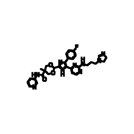 CC1(C(=O)Nc2cccnc2)COC(c2nc(-c3ccc(F)cc3)c(-c3ccnc(NCCCN4C=NCC4)n3)[nH]2)OC1